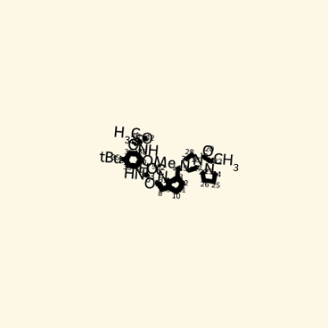 COc1c(NC(=O)Oc2cc3cccc(CN4CCN(C(=O)C(C)N5CCCC5)CC4)c3n2C)cc(C(C)(C)C)cc1NS(C)(=O)=O